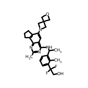 Cc1nc(NC(C)c2cccc(C(F)(F)CO)c2C)c2cc(N3CC4(COC4)C3)c3c(c2n1)CCC3